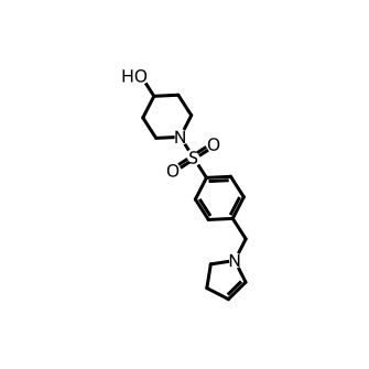 O=S(=O)(c1ccc(CN2C=CCC2)cc1)N1CCC(O)CC1